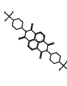 O=C1c2ccc3c4c(ccc(c24)C(=O)N1C1CCC(C(F)(F)F)CC1)C(=O)N(C1CCC(C(F)(F)F)CC1)C3=O